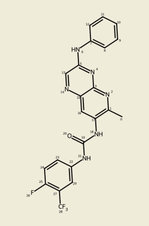 Cc1nc2nc(Nc3ccccc3)cnc2cc1NC(=O)Nc1ccc(F)c(C(F)(F)F)c1